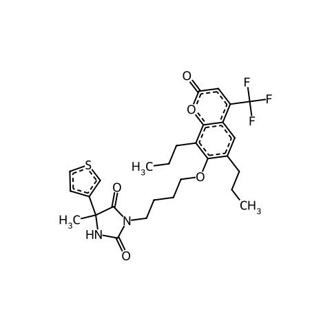 CCCc1cc2c(C(F)(F)F)cc(=O)oc2c(CCC)c1OCCCCN1C(=O)NC(C)(c2ccsc2)C1=O